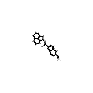 C=Cc1ccc2cc(C(=O)OC3Cc4cccc5cccc3c45)ccc2c1